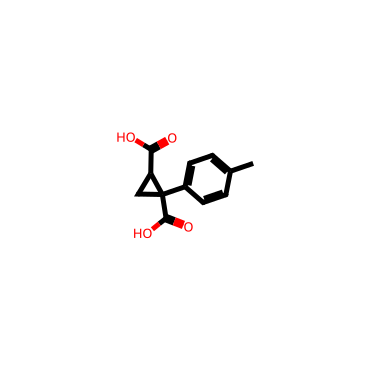 Cc1ccc(C2(C(=O)O)CC2C(=O)O)cc1